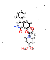 Cc1ccccc1-c1c[nH]c(=O)c2cc(O[C@H](C)C(=O)N3CCC(C(=O)O)CC3)ccc12